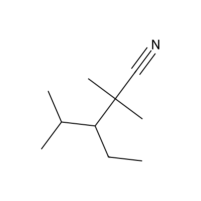 CCC(C(C)C)C(C)(C)C#N